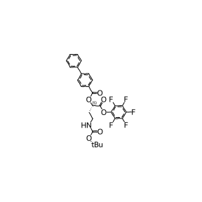 CC(C)(C)OC(=O)NCC[C@H](OC(=O)c1ccc(-c2ccccc2)cc1)C(=O)Oc1c(F)c(F)c(F)c(F)c1F